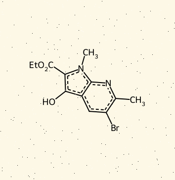 CCOC(=O)c1c(O)c2cc(Br)c(C)nc2n1C